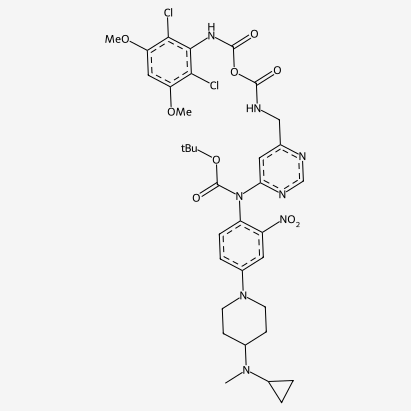 COc1cc(OC)c(Cl)c(NC(=O)OC(=O)NCc2cc(N(C(=O)OC(C)(C)C)c3ccc(N4CCC(N(C)C5CC5)CC4)cc3[N+](=O)[O-])ncn2)c1Cl